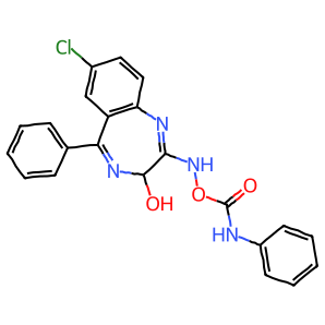 O=C(Nc1ccccc1)ONC1=Nc2ccc(Cl)cc2C(c2ccccc2)=NC1O